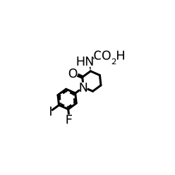 O=C(O)N[C@@H]1CCCN(c2ccc(I)c(F)c2)C1=O